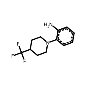 Nc1ccccc1N1CCC(C(F)(F)F)CC1